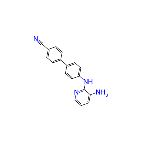 N#Cc1ccc(-c2ccc(Nc3ncccc3N)cc2)cc1